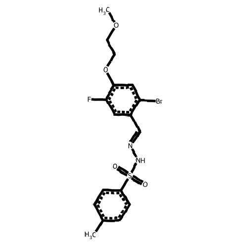 COCCOc1cc(Br)c(/C=N/NS(=O)(=O)c2ccc(C)cc2)cc1F